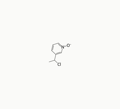 CC(Cl)c1ccc[n+]([O-])c1